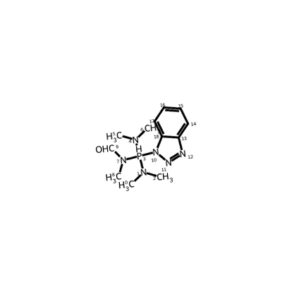 CN(C)[PH](N(C)C)(N(C)C=O)n1nnc2ccccc21